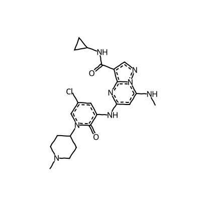 CNc1cc(Nc2cc(Cl)cn(C3CCN(C)CC3)c2=O)nc2c(C(=O)NC3CC3)cnn12